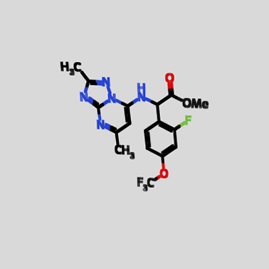 COC(=O)C(Nc1cc(C)nc2nc(C)nn12)c1ccc(OC(F)(F)F)cc1F